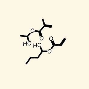 C=C(C)C(=O)OC(C)O.C=CC(=O)OC(O)CCC